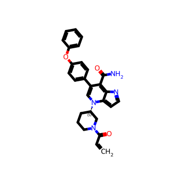 C=CC(=O)N1CCC[C@H](n2cc(-c3ccc(Oc4ccccc4)cc3)c(C(N)=O)c3nccc2-3)C1